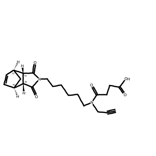 C#CCN(CCCCCCN1C(=O)[C@@H]2[C@H](C1=O)[C@H]1C=C[C@@H]2C1)C(=O)CCC(=O)O